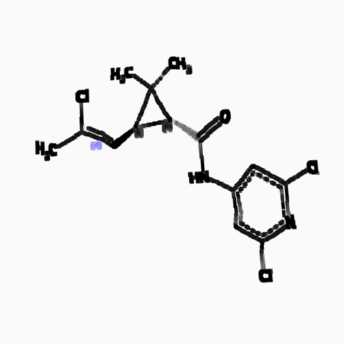 C/C(Cl)=C/[C@@H]1[C@@H](C(=O)Nc2cc(Cl)nc(Cl)c2)C1(C)C